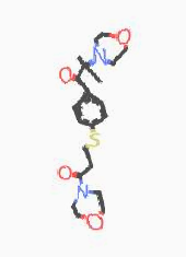 CC(C)(C(=O)c1ccc(SCCC(=O)N2CCOCC2)cc1)N1CCOCC1